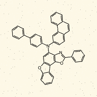 c1ccc(-c2ccc(N(c3ccc4ccc5ccccc5c4c3)c3cc4oc5ccccc5c4c4oc(-c5ccccc5)nc34)cc2)cc1